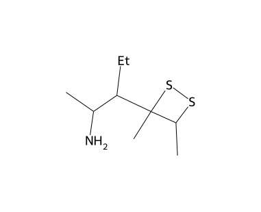 CCC(C(C)N)C1(C)SSC1C